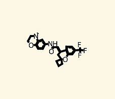 CN1CCOc2ccc(NC(=O)/C=C3\CC4(CCC4)Oc4cc(C(F)(F)F)ccc43)cc21